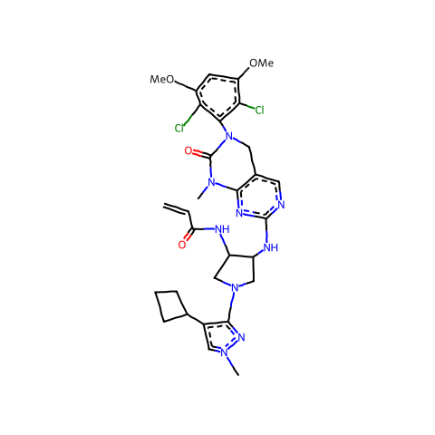 C=CC(=O)NC1CN(c2nn(C)cc2C2CCC2)CC1Nc1ncc2c(n1)N(C)C(=O)N(c1c(Cl)c(OC)cc(OC)c1Cl)C2